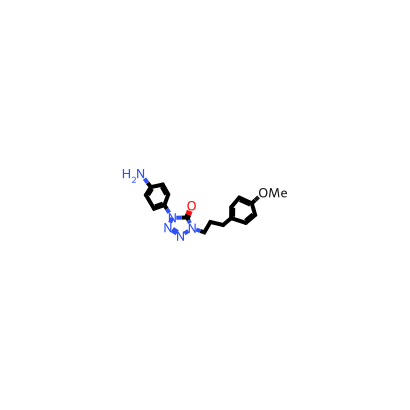 COc1ccc(CCCn2nnn(-c3ccc(N)cc3)c2=O)cc1